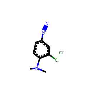 CN(C)c1ccc([N+]#N)cc1Cl.[Cl-]